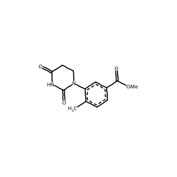 COC(=O)c1ccc(C)c(N2CCC(=O)NC2=O)c1